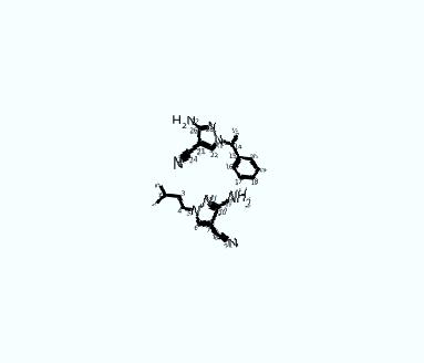 CC(C)CCn1cc(C#N)c(N)n1.CC(c1ccccc1)n1cc(C#N)c(N)n1